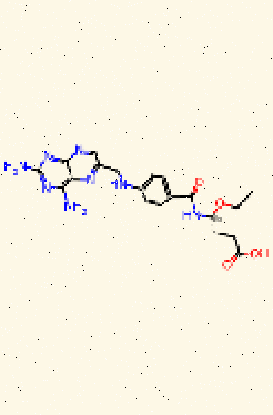 CCO[C@H](CCC(=O)O)NC(=O)c1ccc(NCc2cnc3nc(N)nc(N)c3n2)cc1